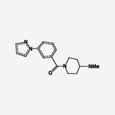 CNC1CCN(C(=O)c2cccc(-n3cccn3)c2)CC1